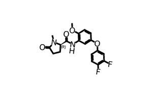 COc1ccc(Oc2ccc(F)c(F)c2)cc1NC(=O)[C@H]1CCC(=O)N1C